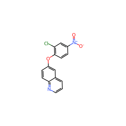 O=[N+]([O-])c1ccc(Oc2ccc3ncccc3c2)c(Cl)c1